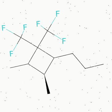 CCCC1[C@@H](C)C(C)C1(C(F)(F)F)C(F)(F)F